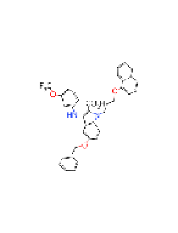 O=C(O)c1c(Nc2cccc(OC(F)(F)F)c2)c2cc(OCc3ccccc3)ccc2n1CCCOc1cccc2ccccc12